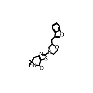 CC1(C)Cc2nc(N3CCOC(Cc4coc5ccccc45)C3)sc2C(=O)N1